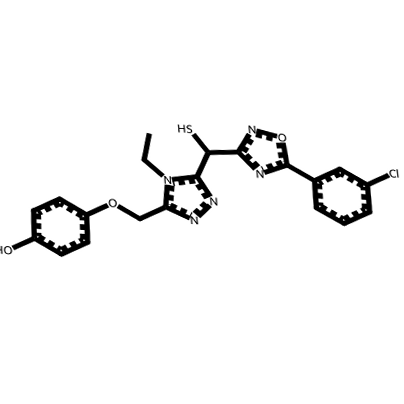 CCn1c(COc2ccc(O)cc2)nnc1C(S)c1noc(-c2cccc(Cl)c2)n1